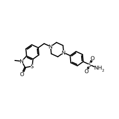 Cn1c(=O)sc2cc(CN3CCN(c4ccc(S(N)(=O)=O)cc4)CC3)ccc21